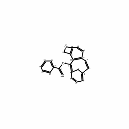 O=C(OC1=C2C=CC=C(C=Cc3ccc4c(c31)CO4)C2)c1ccccc1